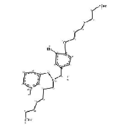 CCCCCCCCCCCCCCCCOc1ccc(CN(CCCCCCCCCCCCCCCC)Cc2ccc[n+](C)c2)cc1C(C)(C)C.[I-]